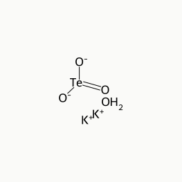 O.O=[Te]([O-])[O-].[K+].[K+]